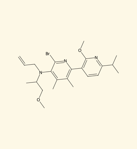 C=CCN(c1c(Br)nc(-c2ccc(C(C)C)nc2OC)c(C)c1C)C(C)COC